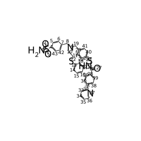 NS(=O)(=O)c1ccc(CN(CCSc2ccccc2)Cc2ccc(SNC(=O)c3ccc(-c4ccccn4)cc3)cc2)cc1